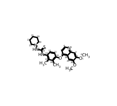 COc1cc2nccc(Oc3ccc(NC(=S)NN4CCCCC4)c(C)c3C)c2cc1OC